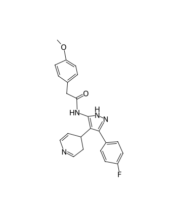 COc1ccc(CC(=O)Nc2[nH]nc(-c3ccc(F)cc3)c2C2C=CN=CC2)cc1